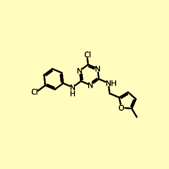 Cc1ccc(CNc2nc(Cl)nc(Nc3cccc(Cl)c3)n2)o1